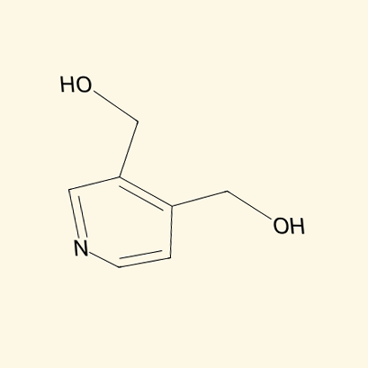 OCc1ccncc1CO